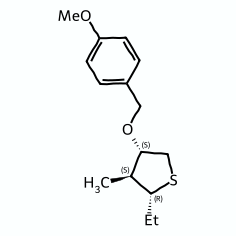 CC[C@H]1SC[C@@H](OCc2ccc(OC)cc2)[C@@H]1C